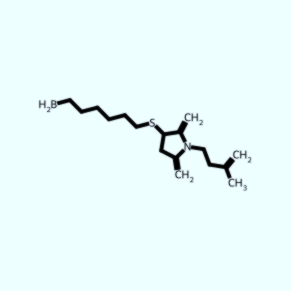 BCCCCCCSC1CC(=C)N(CCC(=C)C)C1=C